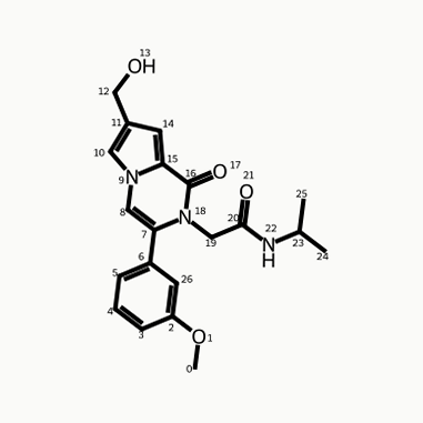 COc1cccc(-c2cn3cc(CO)cc3c(=O)n2CC(=O)NC(C)C)c1